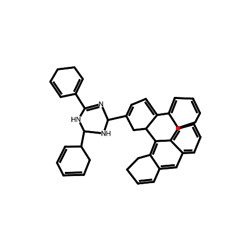 C1=CCCC(C2=CC=C(C3N=C(C4=CCCC=C4)NC(C4C=CC=CC4)N3)CC2c2c3c(cc4ccccc24)C=CCC3)=C1